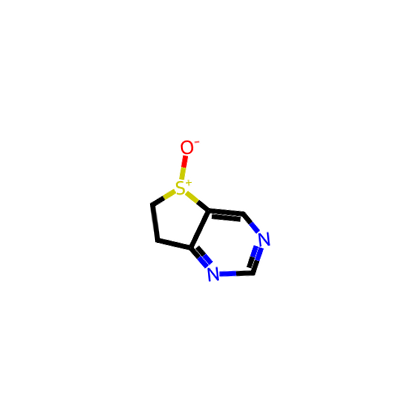 [O-][S+]1CCc2ncncc21